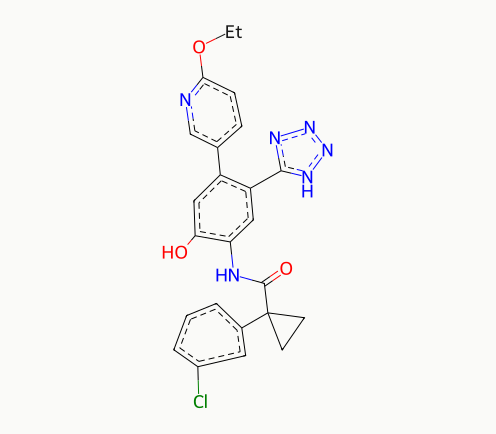 CCOc1ccc(-c2cc(O)c(NC(=O)C3(c4cccc(Cl)c4)CC3)cc2-c2nnn[nH]2)cn1